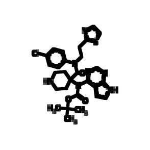 CC(C)(C)OC(=O)N(c1ncnc2[nH]ccc12)C1(C(=O)N(CCc2nccs2)c2ccc(Cl)cc2)CCNCC1